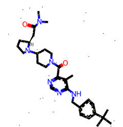 Cc1c(NCc2ccc(C(C)(C)C)cc2)ncnc1C(=O)N1CCC(N2CCC[C@H]2CC(=O)N(C)C)CC1